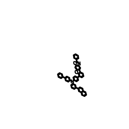 c1ccc(-c2ccc(N(c3ccc(-c4cccc5c4oc4cc6oc(-c7ccccc7)nc6cc45)cc3)c3cccc(-c4ccc5ccccc5c4)c3)cc2)cc1